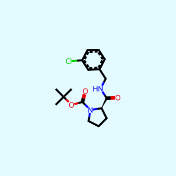 CC(C)(C)OC(=O)N1CCC[C@@H]1C(=O)NCc1cccc(Cl)c1